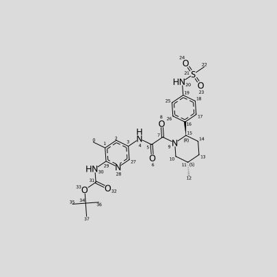 Cc1cc(NC(=O)C(=O)N2C[C@@H](C)CC[C@@H]2c2ccc(NS(C)(=O)=O)cc2)cnc1NC(=O)OC(C)(C)C